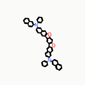 c1ccc(N(c2ccc3ccccc3c2)c2ccc3cc4c(cc3c2)oc2cc3oc5cc6cc(N(c7ccccc7)c7ccc8ccccc8c7)ccc6cc5c3cc24)cc1